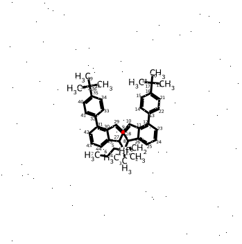 [CH2]=[Hf]([CH3])([CH3])([CH3])([CH2]CC)([CH]1C=Cc2c(-c3ccc(C(C)(C)C)cc3)cccc21)[CH]1C=Cc2c(-c3ccc(C(C)(C)C)cc3)cccc21